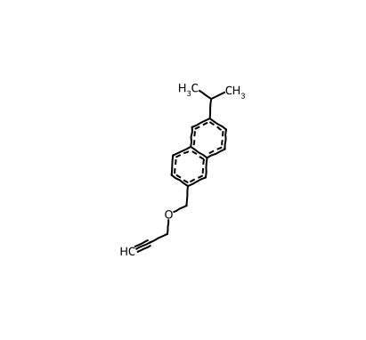 C#CCOCc1ccc2cc(C(C)C)ccc2c1